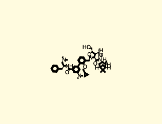 C[C@@H]1[C@@H](NC(=O)[C@@H]2[C@H]([C@H](C)O)[C@H](CO)ON2Cc2cccc(-c3cc(C(=O)N[C@@H](Cc4ccccc4)CN(C)C)cc(N(C)C)c3)c2OCC2CC2)C[C@H]2C[C@@H]1C2(C)C